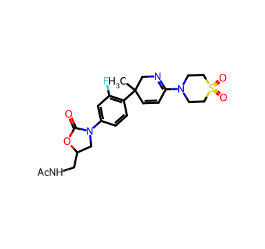 CC(=O)NCC1CN(c2ccc(C3(C)C=CC(N4CCS(=O)(=O)CC4)=NC3)c(F)c2)C(=O)O1